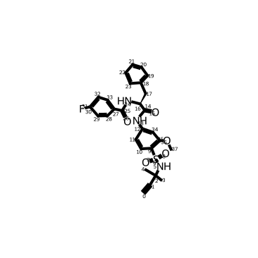 C#CC(C)(C)NS(=O)(=O)c1ccc(NC(=O)[C@H](Cc2ccccc2)NC(=O)c2ccc(F)cc2)cc1OC